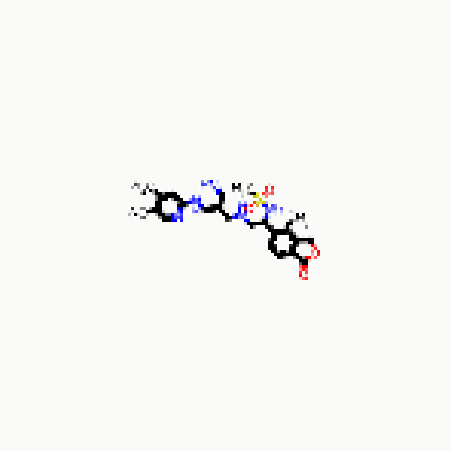 Cc1cc(N/C=C(\C=N)CNCC(NS(C)(=O)=O)c2ccc3c(c2C)COC3=O)ncc1C#N